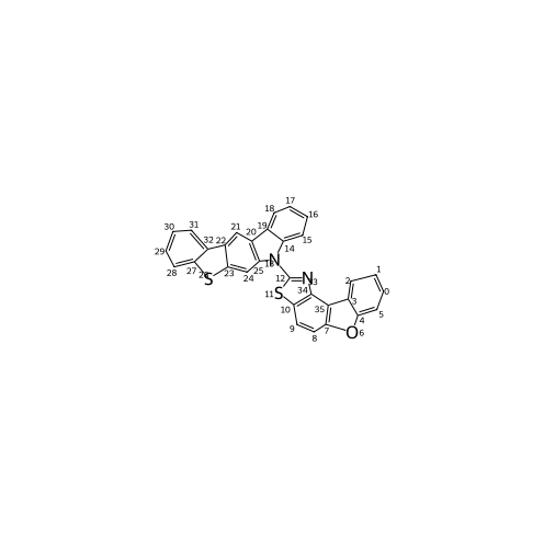 c1ccc2c(c1)oc1ccc3sc(-n4c5ccccc5c5cc6c(cc54)sc4ccccc46)nc3c12